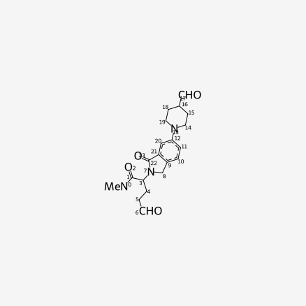 CNC(=O)C(CCC=O)N1Cc2ccc(N3CCC(C=O)CC3)cc2C1=O